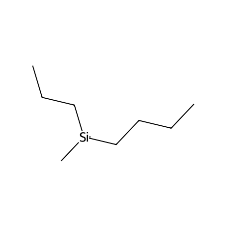 CCCC[Si](C)CCC